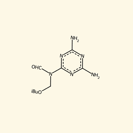 CC(C)COCN(C=O)c1nc(N)nc(N)n1